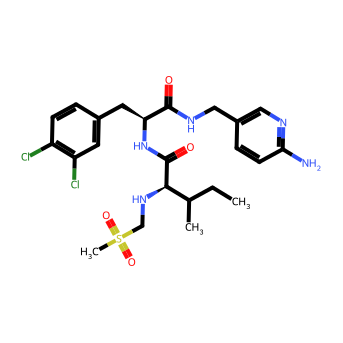 CCC(C)[C@@H](NCS(C)(=O)=O)C(=O)N[C@@H](Cc1ccc(Cl)c(Cl)c1)C(=O)NCc1ccc(N)nc1